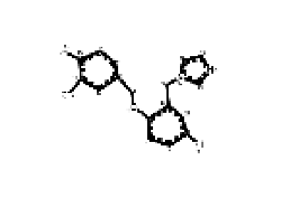 Clc1ccc(OCc2ccc(Cl)c(Cl)c2)c(Cn2ccnc2)c1